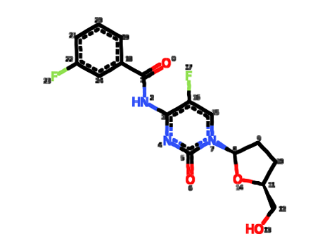 O=C(Nc1nc(=O)n([C@H]2CC[C@@H](CO)O2)cc1F)c1cccc(F)c1